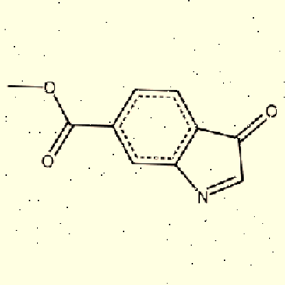 COC(=O)c1ccc2c(c1)N=CC2=O